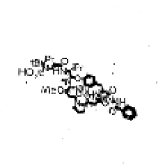 CC[C@H](C)[C@@H]([C@@H](CC(=O)N1CCC[C@H]1[C@H](OC)[C@@H](C)C(=O)N[C@@H](Cc1ccccc1)C(=O)NNC(=O)c1ccccc1)OC)N(C)C(=O)[C@@H](NC(=O)[C@H](CN(C(=O)O)C(C)(C)C)C(C)C)C(C)C